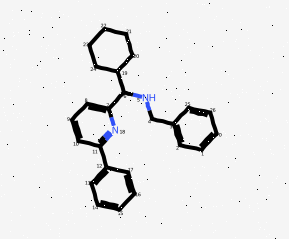 c1ccc(CNC(c2cccc(-c3ccccc3)n2)C2CCCCC2)cc1